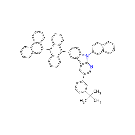 CC(C)(C)c1cccc(-c2cnc3c(c2)c2cc(-c4c5ccccc5c(-c5cc6ccccc6c6ccccc56)c5ccccc45)ccc2n3-c2ccc3ccccc3c2)c1